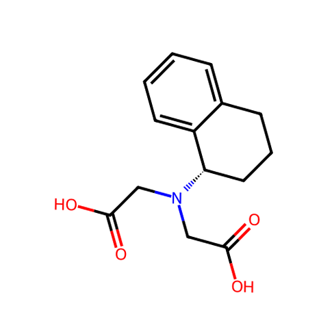 O=C(O)CN(CC(=O)O)[C@H]1CCCc2ccccc21